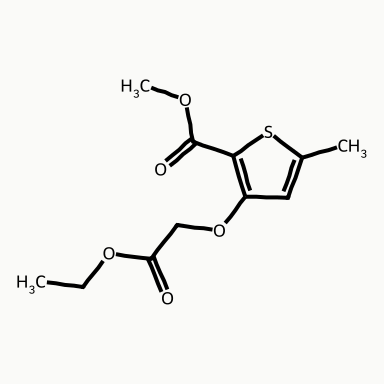 CCOC(=O)COc1cc(C)sc1C(=O)OC